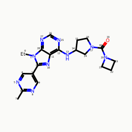 CCn1c(-c2cnc(C)nc2)nc2c(NC3CCN(C(=O)N4CCC4)C3)ncnc21